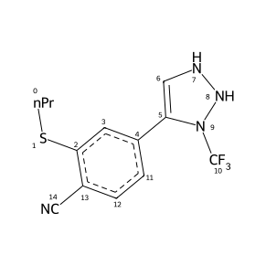 CCCSc1cc(C2=CNNN2C(F)(F)F)ccc1C#N